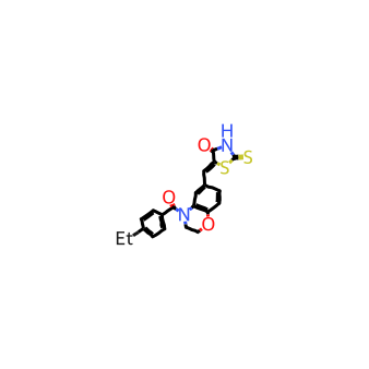 CCc1ccc(C(=O)N2CCOc3ccc(/C=C4\SC(=S)NC4=O)cc32)cc1